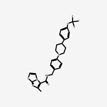 Cc1nc2sccn2c1C(=O)NCc1ccc(N2CCC(c3ccc(OC(F)(F)F)cc3)CC2)cc1